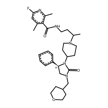 Cc1cc(F)nc(C)c1C(=O)NCCC(C)N1CCC(N2C(=O)N(CC3CCOCC3)C[C@H]2c2ccccc2)CC1